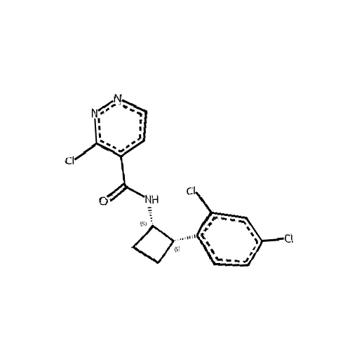 O=C(N[C@H]1CC[C@H]1c1ccc(Cl)cc1Cl)c1ccnnc1Cl